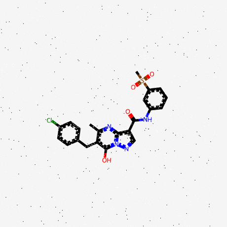 Cc1nc2c(C(=O)Nc3cccc(S(C)(=O)=O)c3)cnn2c(O)c1Cc1ccc(Cl)cc1